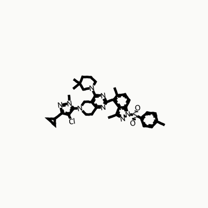 Cc1ccc(S(=O)(=O)n2nc(C)c3c(-c4nc5c(c(N6CCCC(C)(C)C6)n4)CN(c4c(Cl)c(C6CC6)nn4C)CC5)c(C)ccc32)cc1